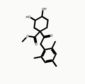 COC(=O)C1(C(=O)Cc2c(C)cc(C)cc2C)CCC(O)C(O)C1